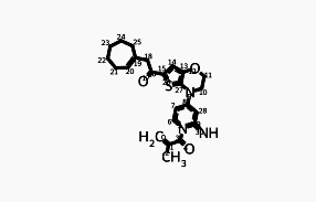 C=C(C)C(=O)n1ccc(N2CCOc3cc(C(=O)CC4=CCCCCC4)sc32)cc1=N